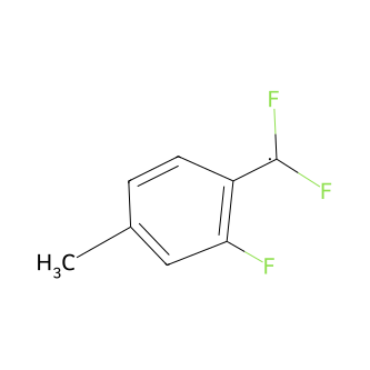 Cc1ccc([C](F)F)c(F)c1